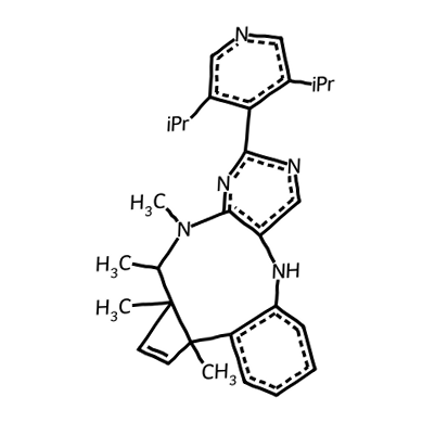 CC(C)c1cncc(C(C)C)c1-c1ncc2c(n1)N(C)C(C)C1(C)C=CC1(C)c1ccccc1N2